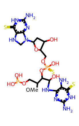 COC(COP(O)O)C(OP(O)(=S)OCC1OC(N2CNc3c2nc(N)[nH]c3=S)CC1O)C(O)Nc1nc(N)[nH]c(=S)c1N